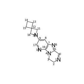 C1=NCCn2c1nc1cc(N3CC4(CCC4)C3)cnc12